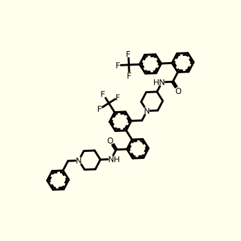 O=C(NC1CCN(Cc2cc(C(F)(F)F)ccc2-c2ccccc2C(=O)NC2CCN(Cc3ccccc3)CC2)CC1)c1ccccc1-c1ccc(C(F)(F)F)cc1